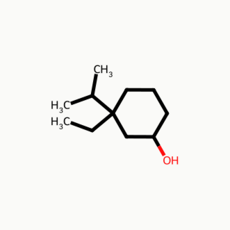 CCC1(C(C)C)CCCC(O)C1